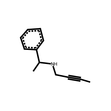 CC#CCNC(C)c1ccccc1